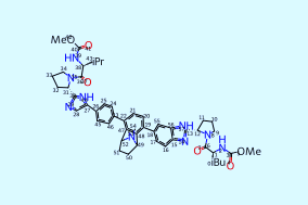 CCC(C)[C@H](NC(=O)OC)C(=O)N1CCC[C@H]1c1nc2ccc(-c3ccc(-c4ccc(-c5cnc([C@@H]6CCCN6C(=O)[C@@H](NC(=O)OC)C(C)C)[nH]5)cc4)c4c3C3CCC4N3C)cc2[nH]1